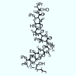 C/C=C/C[C@@H](C)C(O)[C@@H](C(=O)NC(CC)C(=O)N(C)CC(=O)N(C)[C@@H](CC(C)C)C(=O)NC(C(=O)N(C)C(CC(C)C)C(=O)N[C@@H](C)C(=O)NC(C)C(=O)N(C)[C@@H](CC(C)C)C(=O)N(C)C(C=O)CC(C)C)C(C)C)N(C)C(=O)C(C(C)C)N(C)C